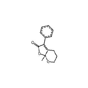 CC12OCCCC1=C(c1ccccc1)C(=O)O2